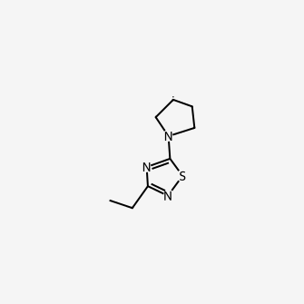 CCc1nsc(N2C[CH]CC2)n1